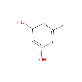 CC1=CC(O)=CC(O)C1